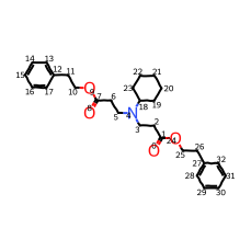 O=C(CCN(CCC(=O)OCCc1ccccc1)C1CCCCC1)OCCc1ccccc1